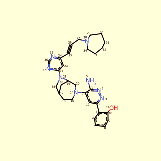 Nc1nnc(-c2ccccc2O)cc1N1CCC2CC(C1)N(c1cc(C#CCN3CCCCCC3)ncn1)C2